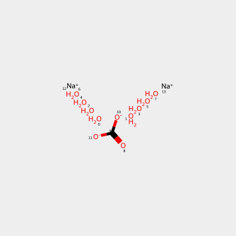 O.O.O.O.O.O.O.O.O=C([O-])[O-].[Na+].[Na+]